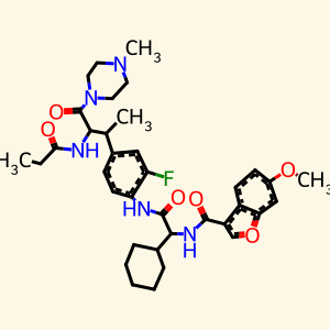 CCC(=O)NC(C(=O)N1CCN(C)CC1)C(C)c1ccc(NC(=O)C(NC(=O)c2coc3cc(OC)ccc23)C2CCCCC2)c(F)c1